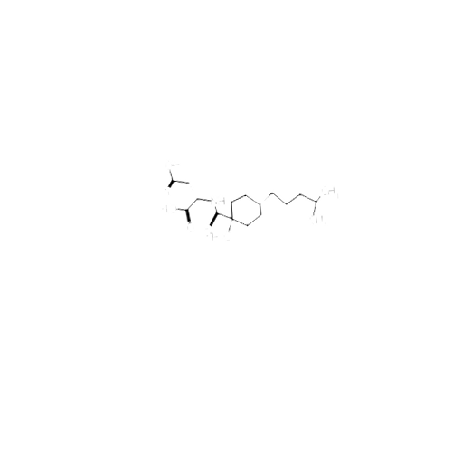 CC(C)CCC[C@H]1CC[C@](C)(C(=O)N[C@@H](CC(=O)O)C(=O)O)CC1